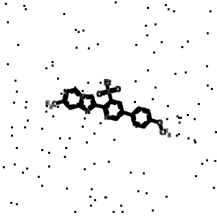 CCS(=O)(=O)c1cc(-c2ccc(OC(F)(F)F)cc2)cnc1-c1cn2cnc(C(F)(F)F)cc2n1